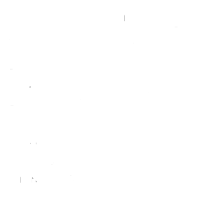 NS(=O)(=O)c1ccc(-c2c(F)c(F)c(F)c(F)c2-c2ccc(Cl)c(C(F)(F)F)c2)cc1